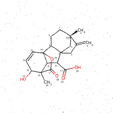 C=C1CC23C[C@]1(C)CCC2C12C=CC(O)C(C)(C(=O)O1)C2C3C(=O)O